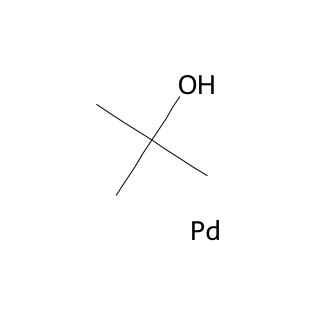 CC(C)(C)O.[Pd]